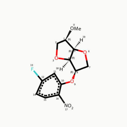 CO[C@@H]1CO[C@H]2[C@@H]1OC[C@H]2Oc1cc(F)ccc1[N+](=O)[O-]